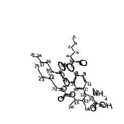 CCCCCC(=O)Oc1ccc(C(C(C)C(C)OC(=O)OCCCC)[C@H](N)C(=O)O)cc1OC(=O)CCCCC